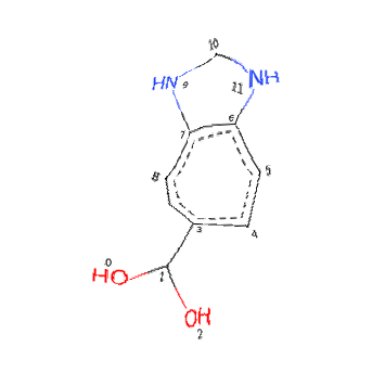 OC(O)c1ccc2c(c1)NCN2